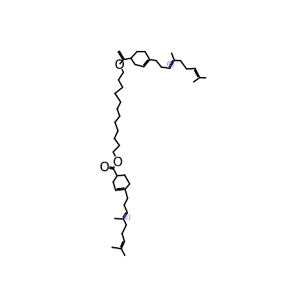 C=C(OCCCCCCCCCCCCOC(=O)C1CC=C(CC/C=C(\C)CCC=C(C)C)CC1)C1CC=C(CC/C=C(\C)CCC=C(C)C)CC1